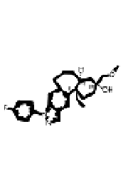 CC[C@]12CC[C@](O)(COC)C[C@@H]1CCCc1cc3c(cnn3-c3ccc(F)cc3)cc12